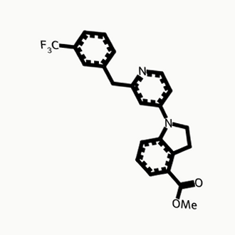 COC(=O)c1cccc2c1CCN2c1ccnc(Cc2cccc(C(F)(F)F)c2)c1